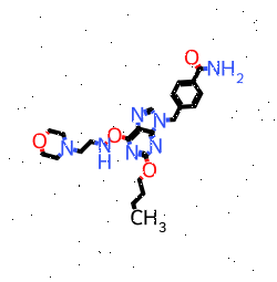 CCCCOc1nc(ONCCN2CCOCC2)c2ncn(Cc3ccc(C(N)=O)cc3)c2n1